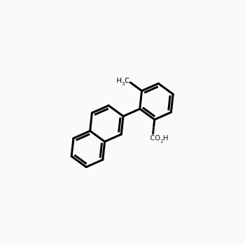 Cc1cccc(C(=O)O)c1-c1ccc2ccccc2c1